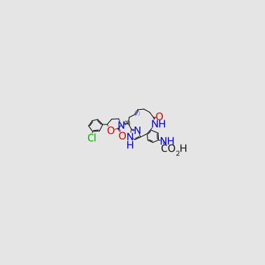 O=C(O)Nc1ccc2c(c1)NC(=O)CC/C=C/C[C@H](N1CCC(c3cccc(Cl)c3)OC1=O)c1nc-2c[nH]1